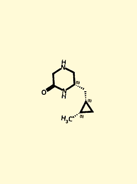 C[C@H]1C[C@H]1C[C@H]1CNCC(=O)N1